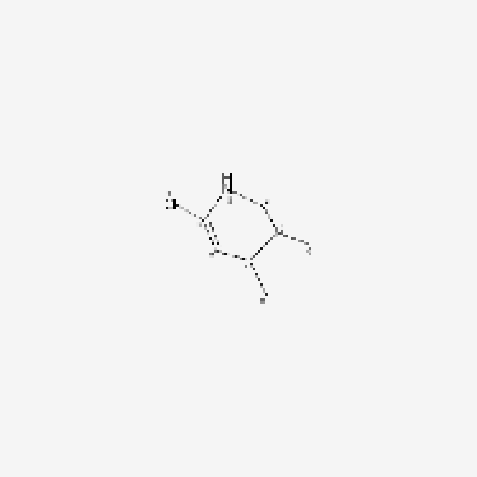 CC1C=C(Cl)NCC1C